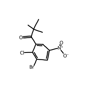 CC(C)(C)C(=O)c1cc([N+](=O)[O-])cc(Br)c1Cl